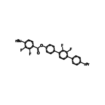 CCCCc1ccc(C(=O)Oc2ccc(-c3ccc(-c4ccc(CCC)cc4)c(F)c3F)cc2)c(F)c1F